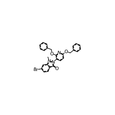 Cn1c2cc(Br)ccc2c(=O)n1-c1ccc(OCc2ccccc2)nc1OCc1ccccc1